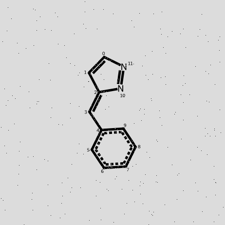 C1=CC(=Cc2ccccc2)N=N1